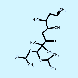 C=CCC(C)C(O)CC(=O)C(C)(C)C(OC(C)C)OC(C)C